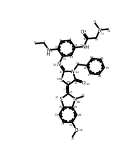 CCNc1ccc(NC(=O)CN(C)C)cc1N=C1S/C(=C2\Sc3ccc(OC)cc3N2C)C(=O)N1Cc1ccccc1